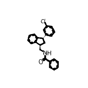 O=C(NC[C@@H]1C[C@@H](c2cccc(Cl)c2)c2ccccc21)c1ccccc1